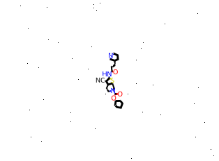 N#Cc1c(NC(=O)/C=C/c2cccnc2)sc2c1CCN(C(=O)Oc1ccccc1)C2